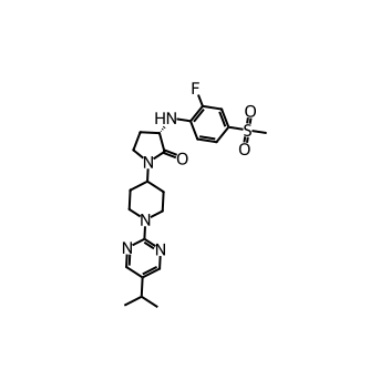 CC(C)c1cnc(N2CCC(N3CC[C@H](Nc4ccc(S(C)(=O)=O)cc4F)C3=O)CC2)nc1